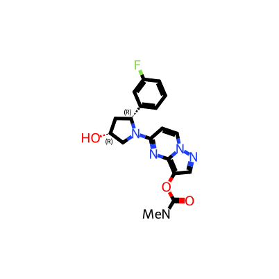 CNC(=O)Oc1cnn2ccc(N3C[C@H](O)C[C@@H]3c3cccc(F)c3)nc12